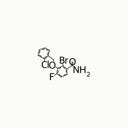 NC(=O)c1ccc(F)c(OCc2ccccc2Cl)c1Br